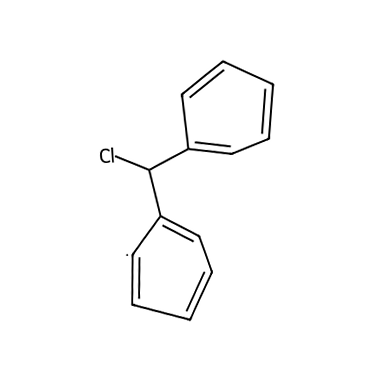 ClC(c1[c]cccc1)c1ccccc1